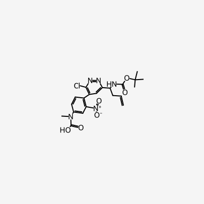 C=CCC(NC(=O)OC(C)(C)C)c1cc(-c2ccc(N(C)C(=O)O)cc2[N+](=O)[O-])c(Cl)nn1